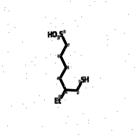 CCC(CS)CCCCS(=O)(=O)O